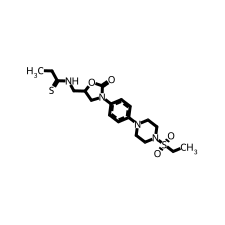 CCC(=S)NCC1CN(c2ccc(N3CCN(S(=O)(=O)CC)CC3)cc2)C(=O)O1